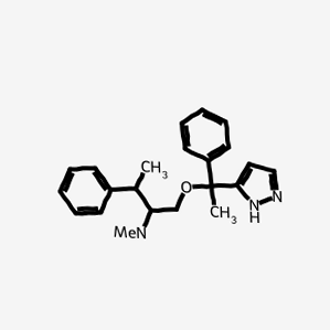 CNC(COC(C)(c1ccccc1)c1ccn[nH]1)C(C)c1ccccc1